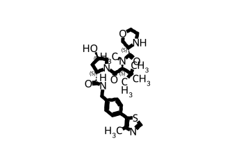 Cc1ncsc1-c1ccc(CNC(=O)[C@@H]2C[C@@H](O)CN2C(=O)[C@@H](N(C)C(=O)[C@@H]2COCCN2)C(C)(C)C)cc1